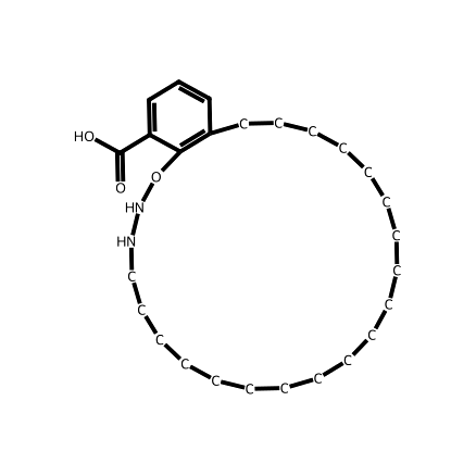 O=C(O)c1cccc2c1ONNCCCCCCCCCCCCCCCCCCC2